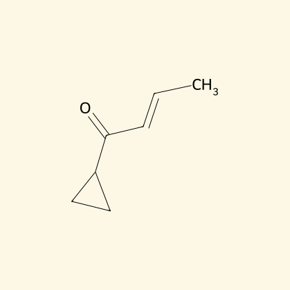 C/C=C/C(=O)C1CC1